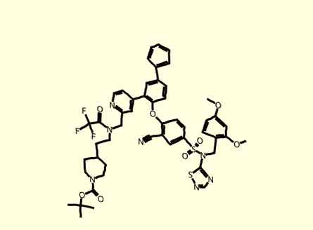 COc1ccc(CN(c2ncns2)S(=O)(=O)c2ccc(Oc3ccc(-c4ccccc4)cc3-c3ccnc(CN(CCC4CCN(C(=O)OC(C)(C)C)CC4)C(=O)C(F)(F)F)c3)c(C#N)c2)c(OC)c1